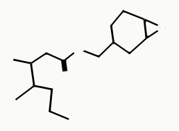 CCCC(C)C(C)CC(=O)OCC1CCC2OC2C1